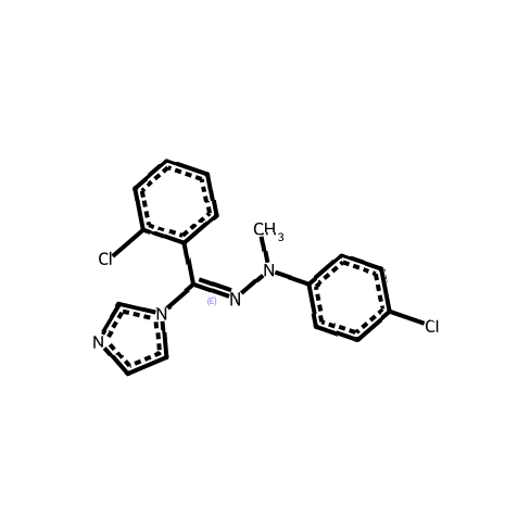 CN(/N=C(\c1ccccc1Cl)n1ccnc1)c1ccc(Cl)cc1